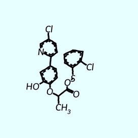 CC(Oc1ccc(-c2ccc(Cl)cn2)cc1O)C(=O)OSc1ccccc1Cl